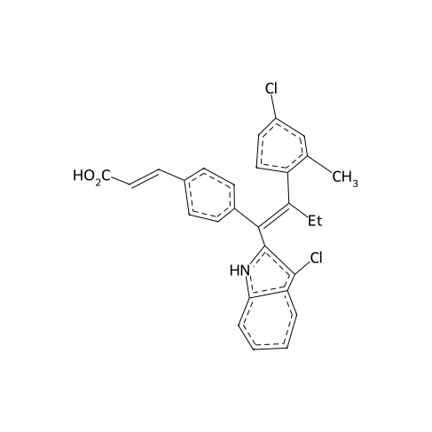 CC/C(=C(/c1ccc(/C=C/C(=O)O)cc1)c1[nH]c2ccccc2c1Cl)c1ccc(Cl)cc1C